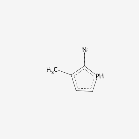 Cc1cc[pH]c1[N]